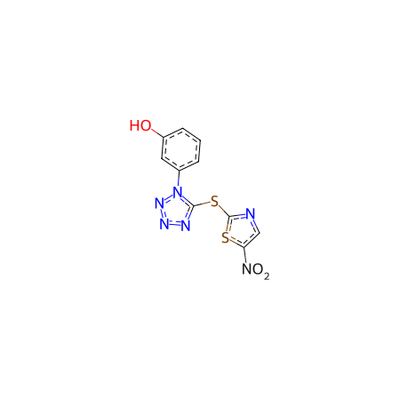 O=[N+]([O-])c1cnc(Sc2nnnn2-c2cccc(O)c2)s1